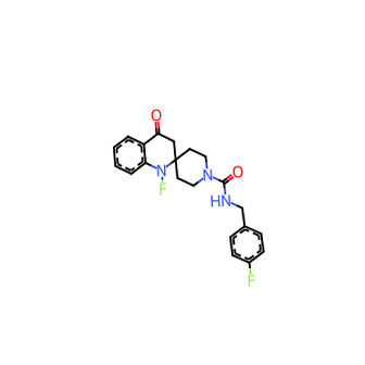 O=C1CC2(CCN(C(=O)NCc3ccc(F)cc3)CC2)N(F)c2ccccc21